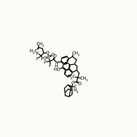 C=C(C)CC(OS(=O)(=O)C(F)(F)C(=O)Nc1ccc(C(C)CC(CC(CC(C)(C)C(=O)OC2(C)C3CC4CC(C3)CC2C4)c2ccccc2)c2ccc(O)cc2)cc1)C(F)(F)F